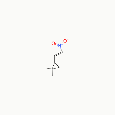 CC1(C)CC1/C=C/[N+](=O)[O-]